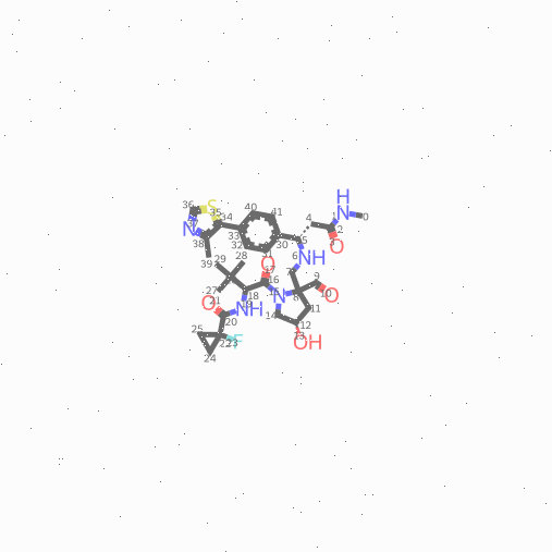 CNC(=O)C[C@H](NCC1(C=O)C[C@@H](O)CN1C(=O)C(NC(=O)C1(F)CC1)C(C)(C)C)c1ccc(-c2scnc2C)cc1